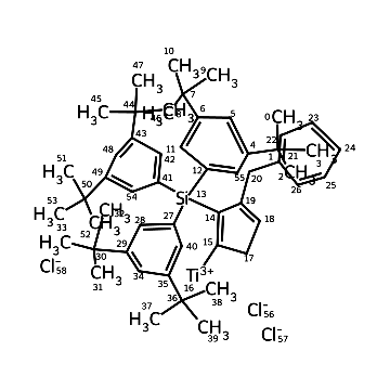 CC(C)(C)c1cc(C(C)(C)C)cc([Si](C2=[C]([Ti+3])CC=C2Cc2ccccc2)(c2cc(C(C)(C)C)cc(C(C)(C)C)c2)c2cc(C(C)(C)C)cc(C(C)(C)C)c2)c1.[Cl-].[Cl-].[Cl-]